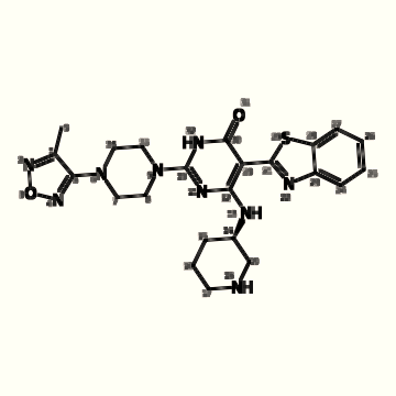 Cc1nonc1N1CCN(c2nc(N[C@@H]3CCCNC3)c(-c3nc4ccccc4s3)c(=O)[nH]2)CC1